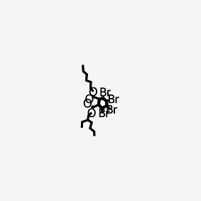 CCCCCCOC(=O)c1c(Br)c(Br)c(Br)c(Br)c1C(=O)OCC(CC)CCCC